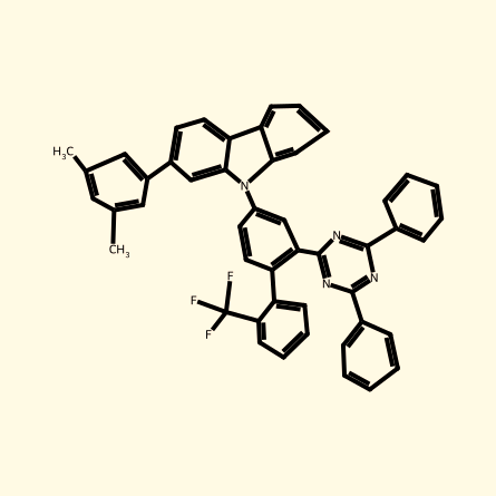 Cc1cc(C)cc(-c2ccc3c4ccccc4n(-c4ccc(-c5ccccc5C(F)(F)F)c(-c5nc(-c6ccccc6)nc(-c6ccccc6)n5)c4)c3c2)c1